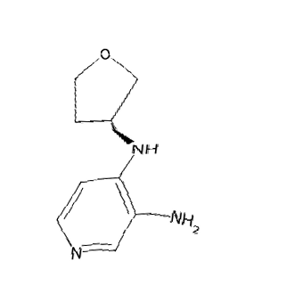 Nc1cnccc1N[C@H]1CCOC1